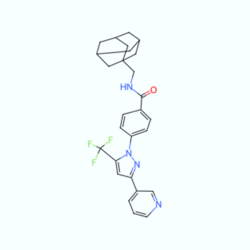 O=C(NCC12CC3CC(CC(C3)C1)C2)c1ccc(-n2nc(-c3cccnc3)cc2C(F)(F)F)cc1